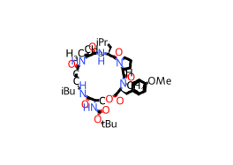 CC[C@H](C)[C@@H]1CCC(=O)NC(C)(C)C(=O)N[C@@H](CC(C)C)C(=O)N2CCC[C@H]2C(=O)N(C)[C@@H](Cc2ccc(OC)cc2)C(=O)OC[C@H](NC(=O)OC(C)(C)C)C(=O)N1